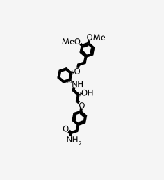 COc1ccc(CCO[C@H]2CCCC[C@H]2NC[C@H](O)COc2ccc(CC(N)=O)cc2)cc1OC